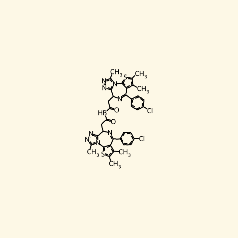 Cc1sc2c(c1C)C(c1ccc(Cl)cc1)=NC(CC(=O)BC(=O)CC1N=C(c3ccc(Cl)cc3)c3c(sc(C)c3C)-n3c(C)nnc31)c1nnc(C)n1-2